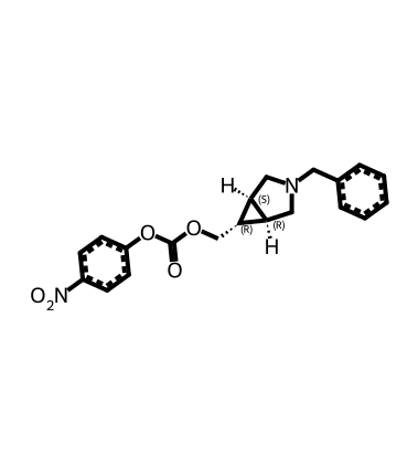 O=C(OC[C@@H]1[C@H]2CN(Cc3ccccc3)C[C@@H]12)Oc1ccc([N+](=O)[O-])cc1